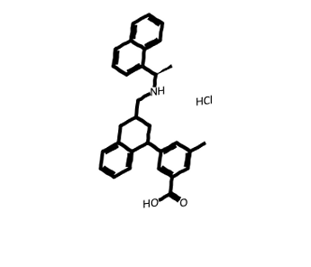 Cc1cc(C(=O)O)cc(C2CC(CN[C@H](C)c3cccc4ccccc34)Cc3ccccc32)c1.Cl